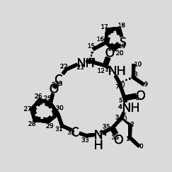 CCC[C@@H]1NC(=O)[C@@H](C(C)C)NC(=O)[C@@H](Cc2ccsc2)NCCOc2ccccc2CCCNC1=O